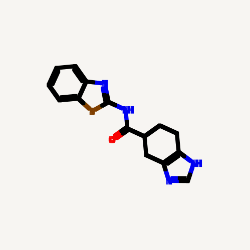 O=C(Nc1nc2ccccc2s1)C1CCc2[nH]cnc2C1